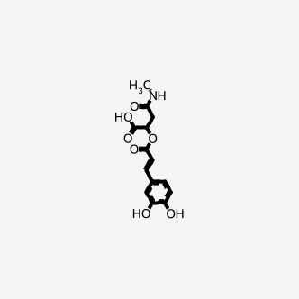 CNC(=O)CC(OC(=O)/C=C/c1ccc(O)c(O)c1)C(=O)O